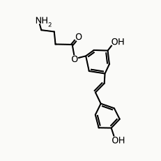 NCCCC(=O)Oc1cc(O)cc(/C=C/c2ccc(O)cc2)c1